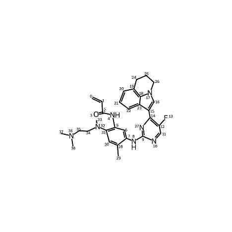 C=CC(=O)Nc1cc(Nc2ncc(F)c(-c3cn4c5c(cccc35)CCC4)n2)c(C)cc1N(C)CCN(C)C